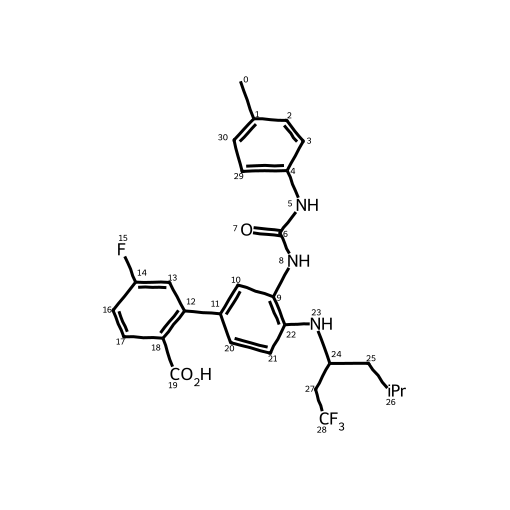 Cc1ccc(NC(=O)Nc2cc(-c3cc(F)ccc3C(=O)O)ccc2NC(CC(C)C)CC(F)(F)F)cc1